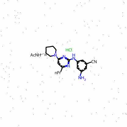 CCCc1cc(N2CCC[C@@H](NC(C)=O)C2)nc(Nc2cc(N)cc(C#N)c2)n1.Cl